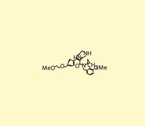 COCCOCc1ccc(C2=C(C(=O)N(Cc3cccc(OC)c3C)C3CC3)C3CNCC(C2)N3)cc1